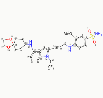 COc1cc(S(N)(=O)=O)ccc1NCC#Cc1cc2c(NC3CCC4(CC3)OCCO4)cccc2n1CC(F)(F)F